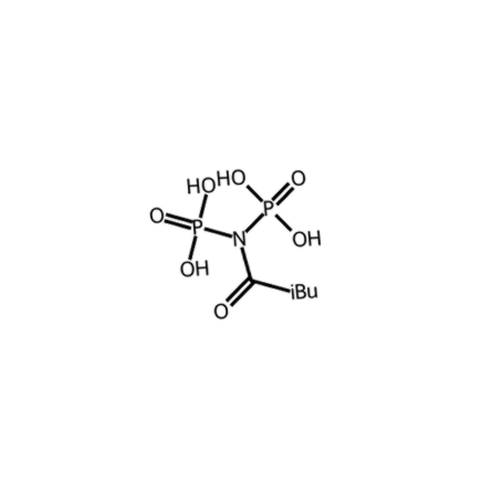 CCC(C)C(=O)N(P(=O)(O)O)P(=O)(O)O